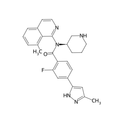 Cc1cc(-c2ccc(C(=O)N(c3nccc4cccc(C)c34)[C@@H]3CCCNC3)c(F)c2)[nH]n1